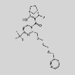 O=C(C1=C(O)C2CCC(C2)C1=O)c1ccc(C(F)(F)F)nc1COCCCOCc1ccccc1